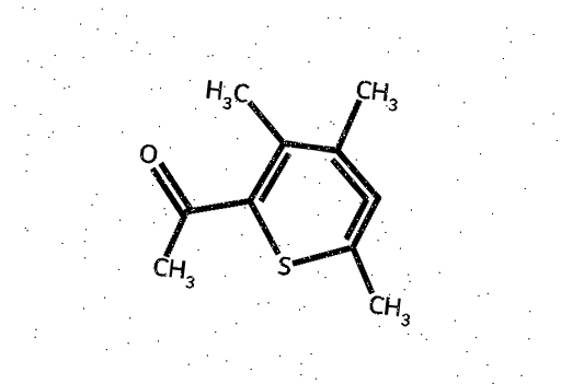 CC(=O)C1=C(C)C(C)=C=C(C)S1